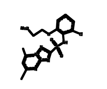 COCCOc1cccc(Cl)c1NS(=O)(=O)c1nc2nc(C)cc(C)n2n1